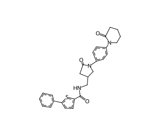 O=C(NCC1CC(=O)N(c2ccc(N3CCCCC3=O)cc2)C1)c1ccc(-c2ccccc2)s1